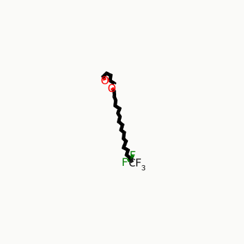 FC(F)(F)C(F)(F)CCCCCCCCCCCCCCCCOCC1CCCO1